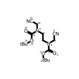 CC(C)(C)OC(=O)N(CC#N)CCN(CC#N)C(=O)OC(C)(C)C